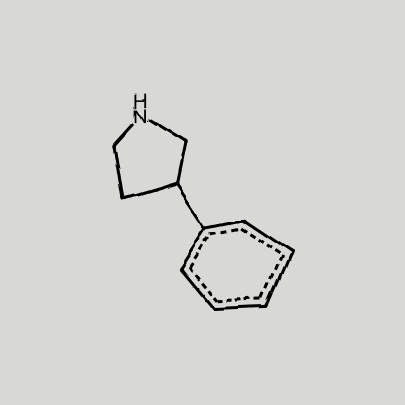 [c]1ccccc1C1CCNC1